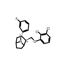 CN1C2CCC1[C@H](COc1cccc(Cl)c1Cl)[C@@H](c1cccc(F)c1)C2